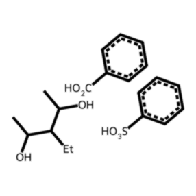 CCC(C(C)O)C(C)O.O=C(O)c1ccccc1.O=S(=O)(O)c1ccccc1